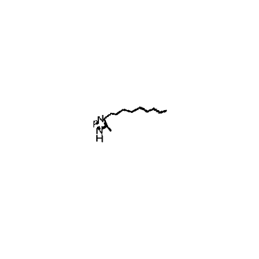 CCCCCCCCCc1np[nH]c1C